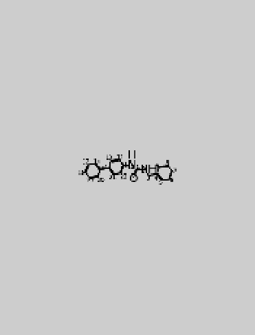 O=C(NCc1ccccc1)Nc1ccc(-c2ccccc2)cc1